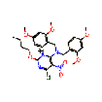 [2H]N1C(N(Cc2ccc(OC)cc2OC)Cc2ccc(OC)cc2OC)=C([N+](=O)[O-])C(Cl)=NC1OCCCC